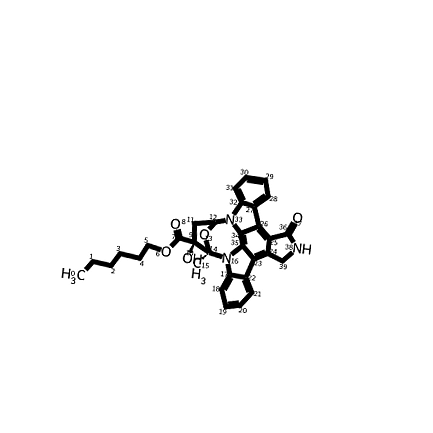 CCCCCCOC(=O)[C@]1(O)CC2O[C@@]1(C)n1c3ccccc3c3c4c(c5c6ccccc6n2c5c31)C(=O)NC4